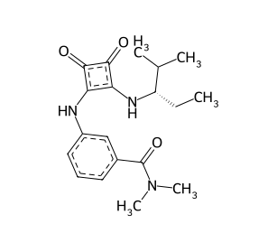 CC[C@H](Nc1c(Nc2cccc(C(=O)N(C)C)c2)c(=O)c1=O)C(C)C